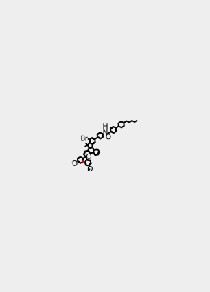 CCCCCC1CCC(c2ccc(C(=O)Nc3ccc(-c4cc(Br)c5c(c4)-c4c(c6c(c7ccccc47)OC(c4ccc(OC)cc4)(c4ccc(OC)cc4)C=C6)C5(C)C)cc3)cc2)CC1